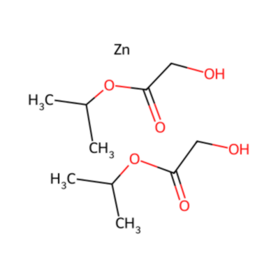 CC(C)OC(=O)CO.CC(C)OC(=O)CO.[Zn]